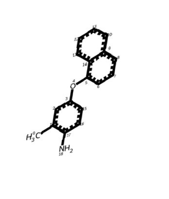 Cc1cc(Oc2cccc3ccccc23)ccc1N